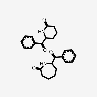 O=C1CCCC(C(=O)c2ccccc2)N1.O=C1CCCCC(C(=O)c2ccccc2)N1